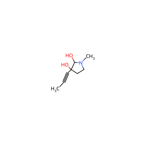 CC#CC1(O)CCN(C)C1O